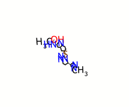 CC(O)Nc1cnc2ccc(Sc3nnc4ccc(-c5cnn(C)c5)cn34)cc2c1